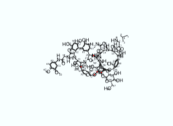 CN[C@H](CC(C)C)C(=O)N[C@H]1C(=O)N[C@@H](CC(N)=O)C(=O)NC2C(=O)N[C@H]3C(=O)N[C@H](C(=O)NC(C(=O)NCC(=O)Nc4ccc(OC)c(OC)c4)c4cc(O)cc(O)c4-c4cc3ccc4O)[C@H](O)c3ccc(c(Cl)c3)Oc3cc2cc(c3O[C@@H]2O[C@H](CO)[C@@H](O)[C@H](O)[C@H]2OC2C[C@](C)(N)[C@H](O)[C@H](C)O2)Oc2ccc(cc2Cl)[C@H]1O